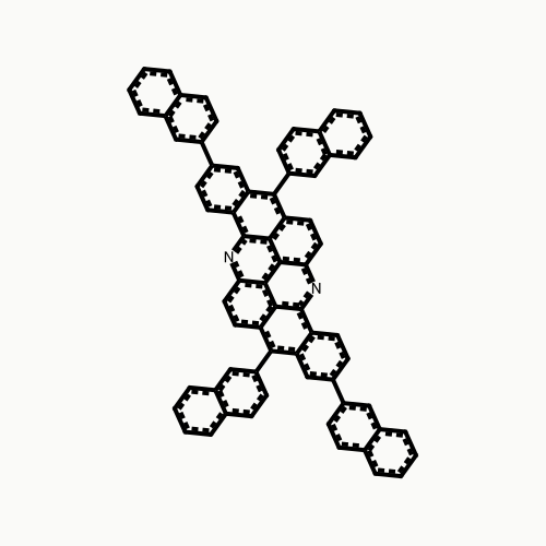 c1ccc2cc(-c3ccc4c(c3)c(-c3ccc5ccccc5c3)c3ccc5nc6c7ccc(-c8ccc9ccccc9c8)cc7c(-c7ccc8ccccc8c7)c7ccc8nc4c3c5c8c76)ccc2c1